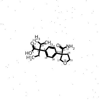 CCC(C(=O)O)(c1ccc(C2(C(N)=O)CCOC2)cc1)C(C)C